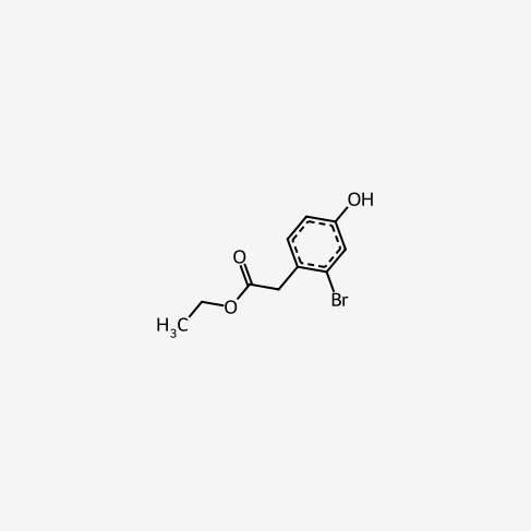 CCOC(=O)Cc1ccc(O)cc1Br